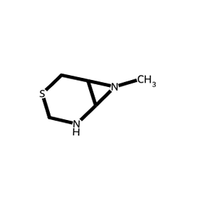 CN1C2CSCNC21